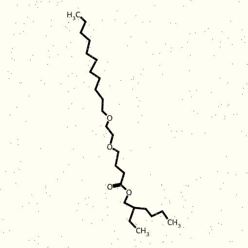 CCCCCCCCCCCOCCOCCCC(=O)OCC(CC)CCCC